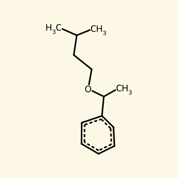 CC(C)CCOC(C)c1ccccc1